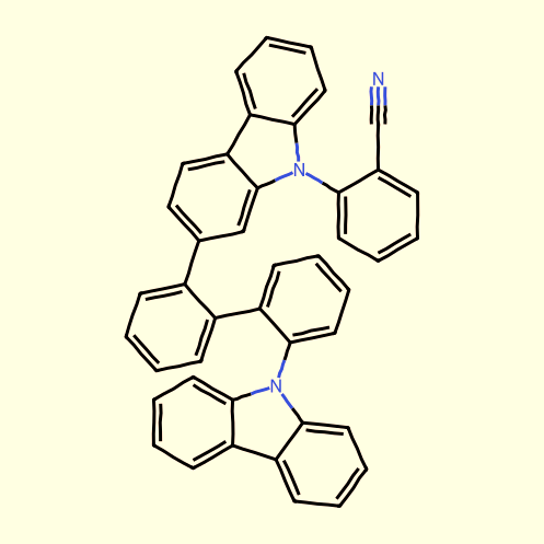 N#Cc1ccccc1-n1c2ccccc2c2ccc(-c3ccccc3-c3ccccc3-n3c4ccccc4c4ccccc43)cc21